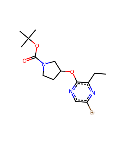 CCc1nc(Br)cnc1OC1CCN(C(=O)OC(C)(C)C)C1